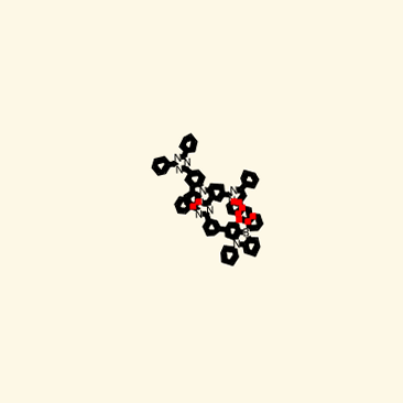 c1ccc(-c2cc(-c3ccccc3)nc(-c3ccc(-n4c5ccccc5c5cc(-c6nc(-c7ccccc7)nc(-c7ccccc7)n6)ccc54)c(-c4nc(-c5ccccc5)nc(-c5cccc(-c6cc7c8c(c6)N(c6ccccc6)c6ccccc6B8c6ccccc6N7c6ccccc6)c5)n4)c3)n2)cc1